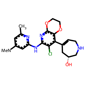 CNc1cc(C)nc(Nc2nc3c(c(C4=CCNC[C@H](O)C4)c2Cl)OCCO3)c1